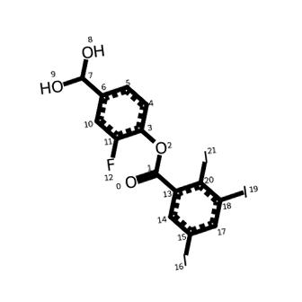 O=C(Oc1ccc(C(O)O)cc1F)c1cc(I)cc(I)c1I